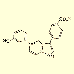 N#Cc1cccc(-c2ccc3[nH]cc(-c4ccc(C(=O)O)cc4)c3c2)c1